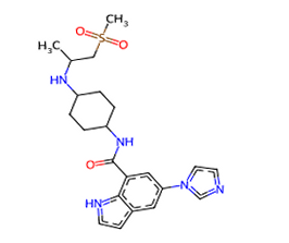 CC(CS(C)(=O)=O)NC1CCC(NC(=O)c2cc(-n3ccnc3)cc3cc[nH]c23)CC1